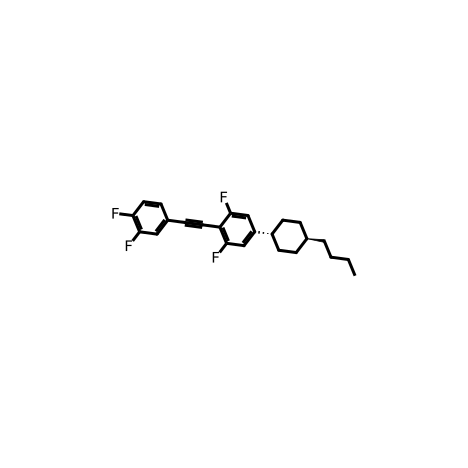 CCCC[C@H]1CC[C@H](c2cc(F)c(C#Cc3ccc(F)c(F)c3)c(F)c2)CC1